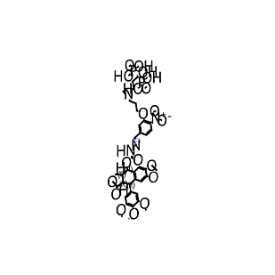 COc1cc([C@@H]2c3cc4c(cc3[C@H](OC(=O)N/N=C/c3ccc([N+](=O)[O-])c(OCCCN(C)CCC(O)(P(=O)(O)O)P(=O)(O)O)c3)[C@H]3COC(=O)[C@H]23)OCO4)cc(OC)c1OC